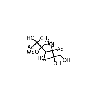 COC(C)(C(O)C(O)(C(C)=O)C(O)(CO)C(C)=O)C(C)(O)C(C)=O